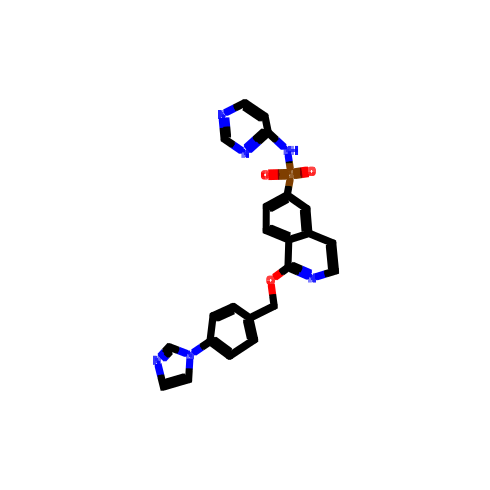 O=S(=O)(Nc1ccncn1)c1ccc2c(OCc3ccc(-n4ccnc4)cc3)nccc2c1